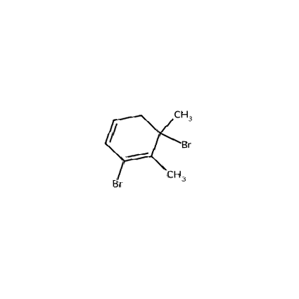 CC1=C(Br)C=CCC1(C)Br